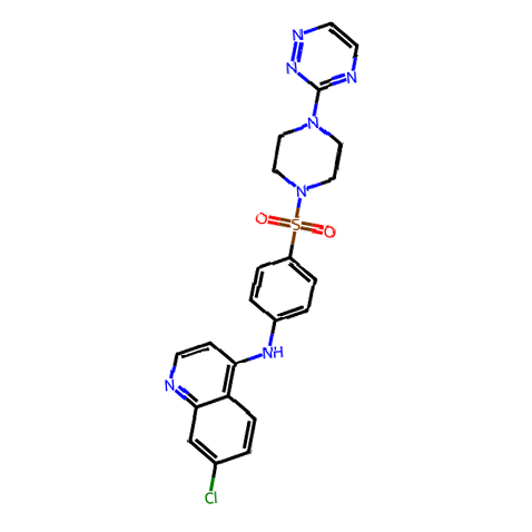 O=S(=O)(c1ccc(Nc2ccnc3cc(Cl)ccc23)cc1)N1CCN(c2nccnn2)CC1